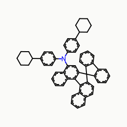 c1ccc2c(c1)-c1ccccc1C21c2ccc3ccccc3c2-c2c1cc(N(c1ccc(C3CCCCC3)cc1)c1ccc(C3CCCCC3)cc1)c1ccccc21